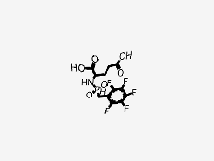 O=C(O)CCC(NP(=O)(O)Cc1c(F)c(F)c(F)c(F)c1F)C(=O)O